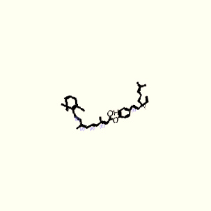 C=C[C@@](C)(/C=C/c1ccc(OC(O)/C=C(C)/C=C/C=C(C)\C=C\C2=C(C)CCCC2(C)C)cc1)CCC=C(C)C